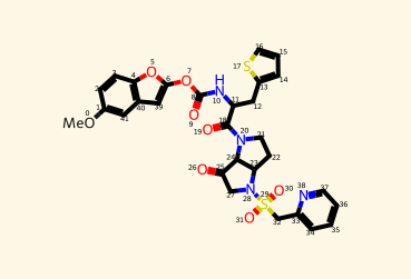 COc1ccc2oc(OC(=O)NC(Cc3cccs3)C(=O)N3CCC4C3C(=O)CN4S(=O)(=O)Cc3ccccn3)cc2c1